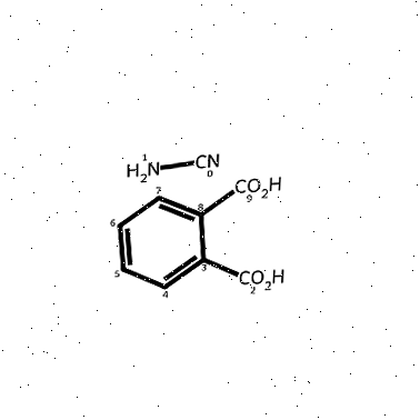 N#CN.O=C(O)c1ccccc1C(=O)O